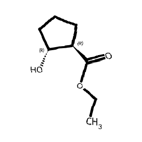 CCOC(=O)[C@@H]1CCC[C@H]1O